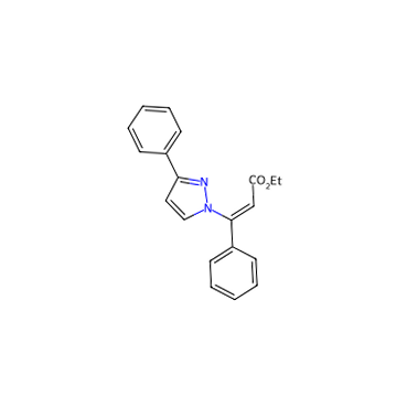 CCOC(=O)/C=C(/c1ccccc1)n1ccc(-c2ccccc2)n1